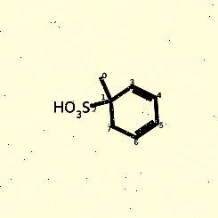 CC1(S(=O)(=O)O)C=CC=CC1